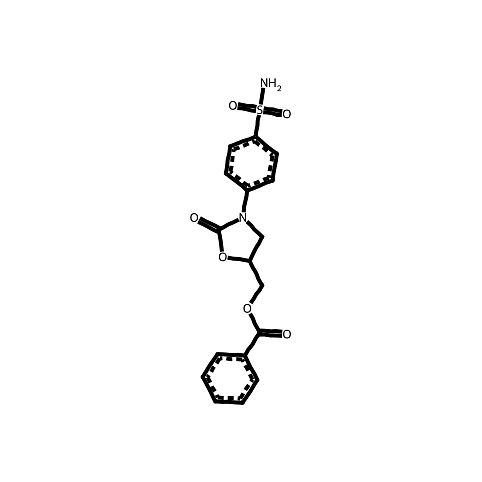 NS(=O)(=O)c1ccc(N2CC(COC(=O)c3ccccc3)OC2=O)cc1